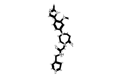 COc1cc(N2CCC(=O)N(CC(=O)NCc3ccncc3)CC2)ccc1-c1cnc(C)o1